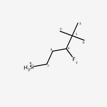 CC(C)(C)C(F)CC[SiH3]